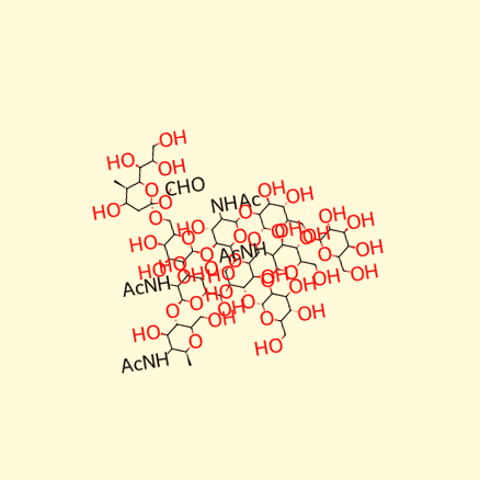 CC(=O)NC1C(OC2[C@@H](OCC3O[C@@H](O[C@@H]4C(CO)O[C@@H](O[C@@H]5C(CO)O[C@@H](C)C(NC(C)=O)[C@H]5O)C(NC(C)=O)[C@H]4O)C(O)[C@@H](O[C@H]4OC(CO)[C@@H](O)C(O)C4O[C@@H]4OC(CO)[C@@H](O[C@@H]5OC(CO)[C@H](O)[C@H](O)C5O)[C@H](O)C4NC(C)=O)[C@@H]3O)OC(CO)[C@@H](O)[C@@H]2O)OC(CO)[C@@H](O[C@@H]2OC(CO[C@]3(OC=O)CC(O)[C@@H](C)C([C@@H](O)C(O)CO)O3)[C@H](O)[C@H](O)C2O)[C@@H]1O